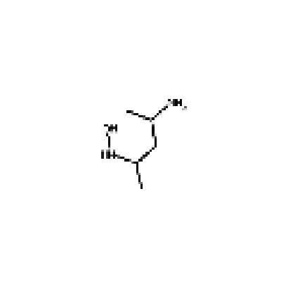 CC(CC(N)I)NO